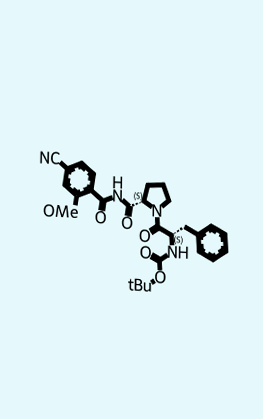 COc1cc(C#N)ccc1C(=O)NC(=O)[C@@H]1CCCN1C(=O)[C@H](Cc1ccccc1)NC(=O)OC(C)(C)C